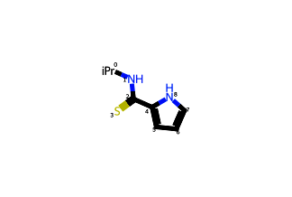 CC(C)NC(=S)c1ccc[nH]1